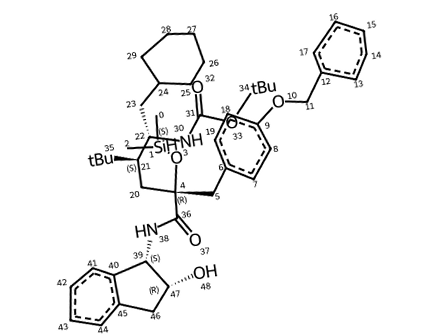 C[SiH](C)O[C@@](Cc1ccc(OCc2ccccc2)cc1)(C[C@H]([C@H](CC1CCCCC1)NC(=O)OC(C)(C)C)C(C)(C)C)C(=O)N[C@H]1c2ccccc2C[C@H]1O